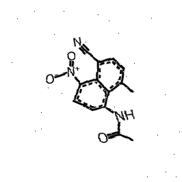 CC(=O)Nc1ccc([N+](=O)[O-])c2c(C#N)ccc(C)c12